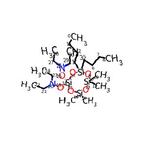 CCCC[Si]1(CCCC)O[Si](C)(C)O[Si](C)(C)O[Si](ON(CC)CC)(ON(CC)CC)O1